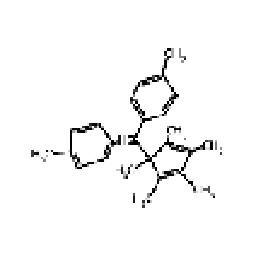 CC1=C(C)C(C)([SiH](c2ccc(C)cc2)c2ccc(C)cc2)C(C)=C1C